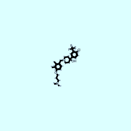 Cc1c(CN2CCC(O)(c3ccc(Cl)c(C(F)(F)F)c3)CC2)ccc(OCCCN(C)C)c1C